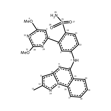 COc1cc(-c2cc(Nc3nc4cc(C)nn4c4ccccc34)ccc2S(N)(=O)=O)nc(OC)n1